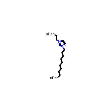 CCCCCCCCCCCCCCCCCCC[n+]1ccn(CCCCCCCCCCCC)c1